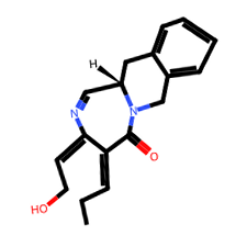 CC/C=C1/C(=O)N2Cc3ccccc3C[C@H]2C=N/C1=C/CO